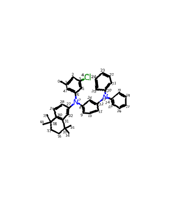 Cc1cc(Cl)cc(N(c2cccc(N(c3ccccc3)c3ccccc3)c2)c2ccc3c(c2)C(C)(C)CCC3(C)C)c1